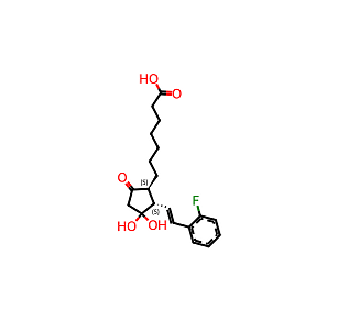 O=C(O)CCCCCC[C@@H]1C(=O)CC(O)(O)[C@H]1C=Cc1ccccc1F